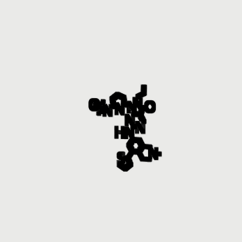 C=CCn1c(=O)c2cnc(Nc3cc4c(c(-c5cccs5)c3)CCN(C)C4)nc2n1-c1cccc(N=S(C)(C)=O)n1